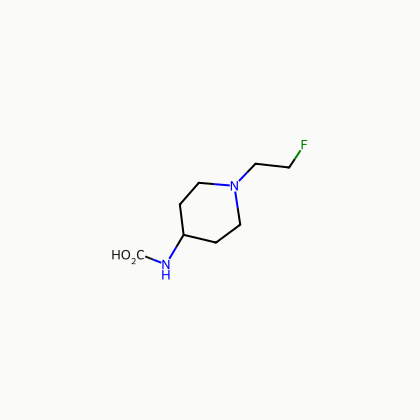 O=C(O)NC1CCN(CCF)CC1